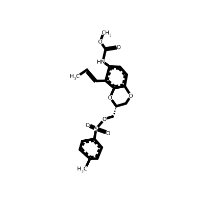 CC=Cc1c(NC(=O)OC)ccc2c1O[C@@H](COS(=O)(=O)c1ccc(C)cc1)CO2